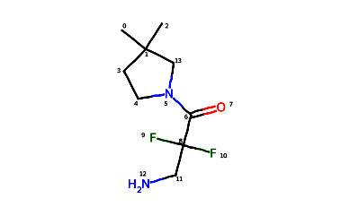 CC1(C)CCN(C(=O)C(F)(F)CN)C1